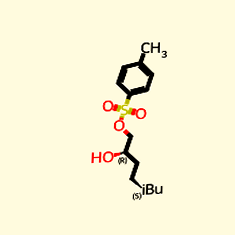 CC[C@H](C)CC[C@@H](O)COS(=O)(=O)c1ccc(C)cc1